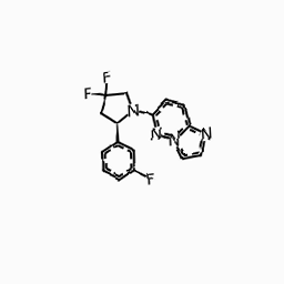 Fc1cccc([C@H]2CC(F)(F)CN2c2ccc3nccn3n2)c1